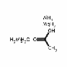 CC(=O)O.O.[AlH3].[MgH2].[MgH2]